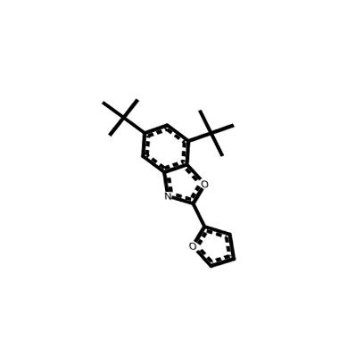 CC(C)(C)c1cc(C(C)(C)C)c2oc(-c3ccco3)nc2c1